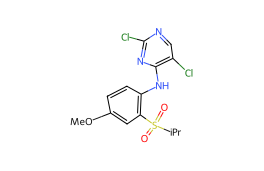 COc1ccc(Nc2nc(Cl)ncc2Cl)c(S(=O)(=O)C(C)C)c1